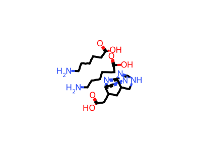 NCCCCCC(=O)O.NCCCCCC(=O)O.O=C(O)CC1CC2CNc3nc2nc1n3